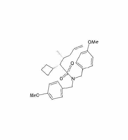 C=CC[C@@H](C)[C@@H](C1CCC1)S(=O)(=O)N(Cc1ccc(OC)cc1)Cc1ccc(OC)cc1